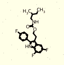 CCC(C)CNC(=O)OCCc1c(-c2ccc(F)cc2)[nH]c2c(F)cc(F)cc12